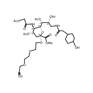 C#CCOCCOCCO[C@]1(C(=O)OC)C[C@H](OC(C)=O)[C@@H](NC(=O)COC(C)=O)[C@H]([C@H](OC(C)=O)[C@@H](CNC(=O)CC2CCC(O)CC2)OC(C)=O)O1